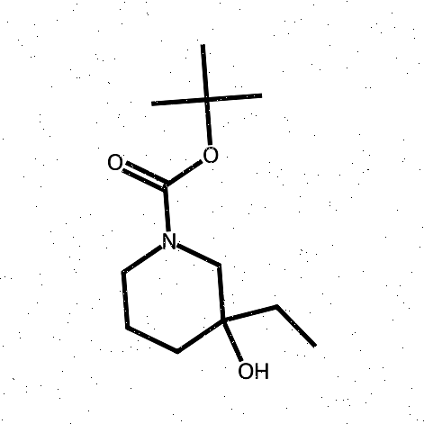 CCC1(O)CCCN(C(=O)OC(C)(C)C)C1